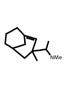 CNC(C)C1(C)C=C2CCCC(C2)C1